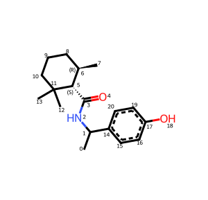 CC(NC(=O)[C@H]1[C@H](C)CCCC1(C)C)c1ccc(O)cc1